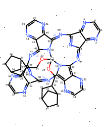 c1cnc2c(n1)C1=NC/2=N\c2c3nccnc3c3n2[Si](OCC2CC4CCC2C4)(OCC2CC4CCC2C4)n2/c(c4nccnc4/c2=N/C2=NC(=N\3)/c3nccnc32)=N\1